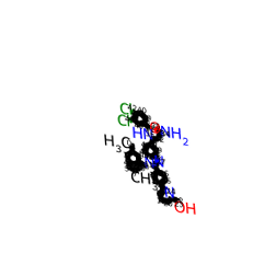 CCC1CC2CC(C)CC(Cn3c(-c4ccc(-c5cccc(CO)n5)cc4)nc4cc(C(CC(N)=O)NCc5ccc(Cl)c(Cl)c5)ccc43)(C1)C2